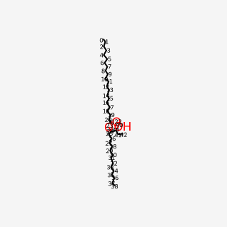 CCCCCCCCCCCCCCCCCCCCCC(=O)OC(CCCCCCCCCCCCCC)C(O)CC